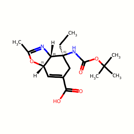 CC[C@]1(NC(=O)OC(C)(C)C)CC(C(=O)O)=C[C@@H]2OC(C)=N[C@@H]21